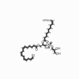 CC/C=C\C/C=C\C/C=C\C/C=C\CCCCC(=O)OC[C@H](COP(=O)(O)OC[C@@H](O)CO)OC(=O)CCCCCCC/C=C\CCCCCC